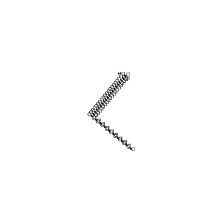 ClCCl.ClCCl.ClCCl.ClCCl.ClCCl.ClCCl.ClCCl.ClCCl.ClCCl.ClCCl.ClCCl.ClCCl.ClCCl.ClCCl.ClCCl.ClCCl.ClCCl.ClCCl.ClCCl.ClCCl.ClCCl.ClCCl.ClCCl.ClCCl.ClCCl.ClCCl.ClCCl.ClCCl.OCC(Cl)Cl